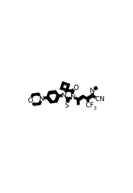 C=N/C(C#N)=C(\C=C(/C)N1C(=O)C2(CCC2)N(c2ccc(N3CCOCC3)cc2)C1=S)C(F)(F)F